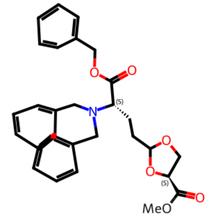 COC(=O)[C@@H]1COC(CC[C@@H](C(=O)OCc2ccccc2)N(Cc2ccccc2)Cc2ccccc2)O1